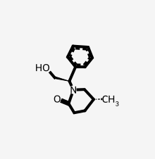 C[C@@H]1CCC(=O)N([C@@H](CO)c2ccccc2)C1